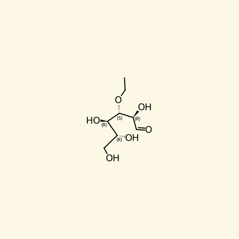 CCO[C@@H]([C@H](O)[C@H](O)CO)[C@@H](O)C=O